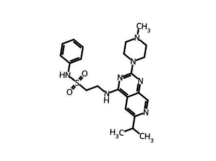 CC(C)c1cc2c(NCCS(=O)(=O)Nc3ccccc3)nc(N3CCN(C)CC3)nc2cn1